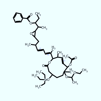 CCOC(C)OC1(C)CCC(O[Si](CC)(CC)CC)CC(=O)OC(/C(C)=C/C=C/C(C)CC2OC2C(C)C(CC)OC(=O)c2ccccc2)C(C)/C=C/C1OC(C)=O